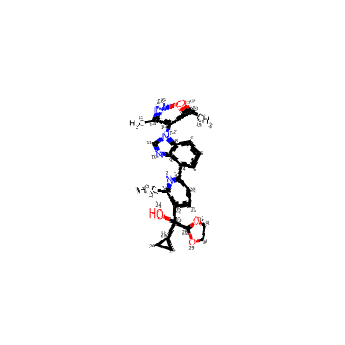 Cc1nc(-c2cccc3c2ncn3-c2c(C)noc2C)ccc1C(O)(C1CC1)C1OCCO1